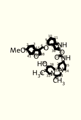 COc1ccc2c(COc3cccc4[nH]c(OC(=O)NC5CCN(C[C@H](C)N6CC[C@H](O)[C@@H](C)C6)CC5)cc34)coc2c1